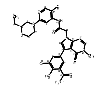 CC[C@H]1CN(c2cc(NC(=O)Cn3cc(-c4cc(Cl)c(O)c(C(N)=O)c4)c4c(=O)n(C)cnc43)c(Cl)cn2)CCO1